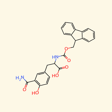 NC(=O)c1cc(CC(NC(=O)OCC2c3ccccc3-c3ccccc32)C(=O)O)ccc1O